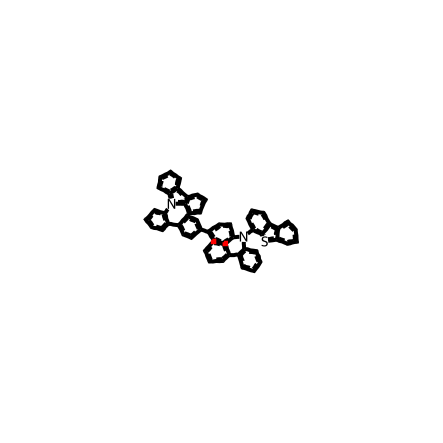 c1ccc(-c2ccccc2N(c2ccc(-c3ccc(-c4ccccc4-n4c5ccccc5c5ccccc54)cc3)cc2)c2cccc3c2sc2ccccc23)cc1